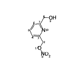 O=[N+]([O-])OCc1cccc(CO)n1